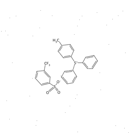 Cc1ccc([S+](c2ccccc2)c2ccccc2)cc1.O=S(=O)([O-])c1cccc(C(F)(F)F)c1